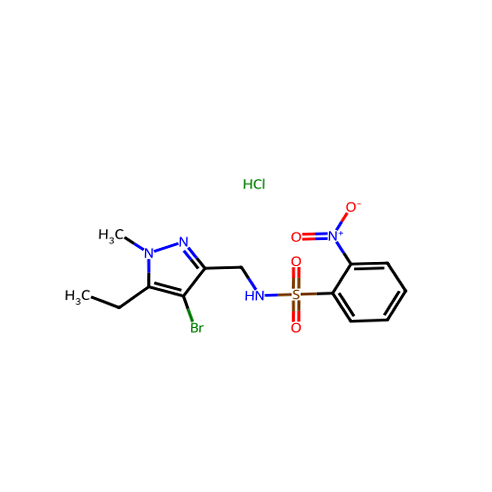 CCc1c(Br)c(CNS(=O)(=O)c2ccccc2[N+](=O)[O-])nn1C.Cl